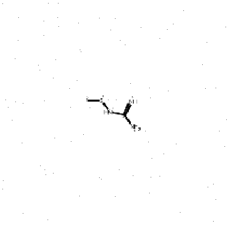 CSNC(=N)N